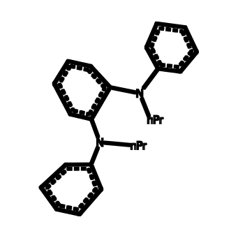 CCCN(c1ccccc1)c1ccccc1N(CCC)c1ccccc1